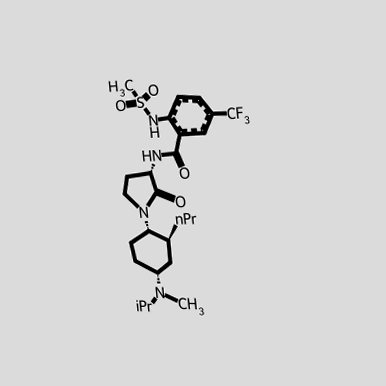 CCC[C@H]1C[C@H](N(C)C(C)C)CC[C@@H]1N1CC[C@H](NC(=O)c2cc(C(F)(F)F)ccc2NS(C)(=O)=O)C1=O